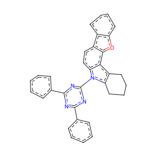 c1ccc(-c2nc(-c3ccccc3)nc(-n3c4c(c5c6oc7ccccc7c6ccc53)CCCC4)n2)cc1